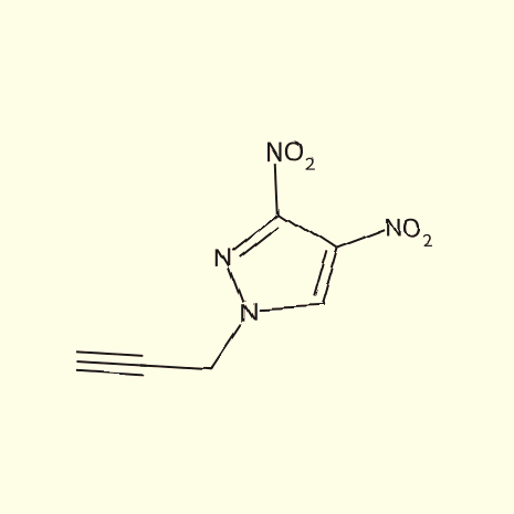 C#CCn1cc([N+](=O)[O-])c([N+](=O)[O-])n1